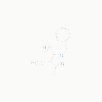 Cc1nn(Cc2ccccc2)c(N)c1C(=O)O